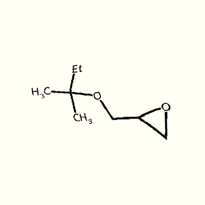 CCC(C)(C)OCC1CO1